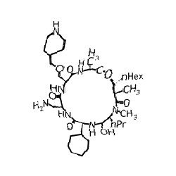 CCCCCC[C@H]1OC[C@@H](C)NC(=O)[C@H](COCC2CCNCC2)NC(=O)[C@H](CN)NC(=O)[C@H](C2CCCCCC2)NC(O)[C@H](CCC)N(C)C(=O)[C@@H]1C